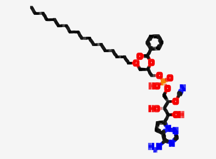 CCCCCCCCCCCCCCCCCCOC[C@H](COP(=O)(O)OC[C@@H](OC#N)[C@@H](O)[C@@H](O)c1ccc2c(N)ncnn12)OC(=O)c1ccccc1